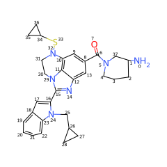 NC1CCCN(C(=O)c2cc3c4c(c2)nc(-c2cc5ccccc5n2CC2CC2)n4CCN3SC2CC2)C1